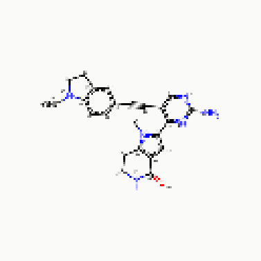 Cn1c(-c2nc(N)ncc2C#Cc2ccc3c(c2)CCN3[C]=O)cc2c1CCNC2=O